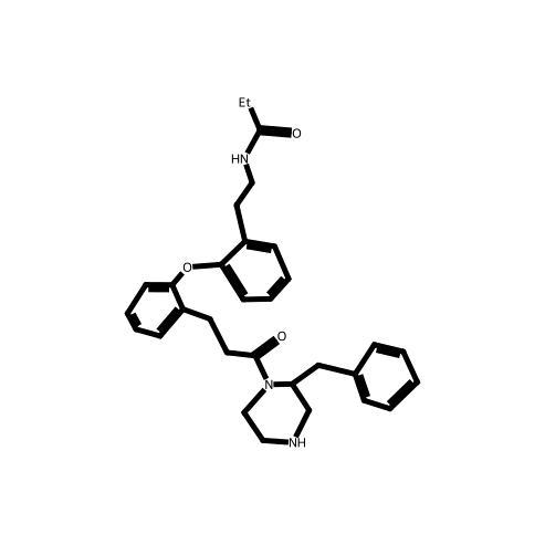 CCC(=O)NCCc1ccccc1Oc1ccccc1CCC(=O)N1CCNCC1Cc1ccccc1